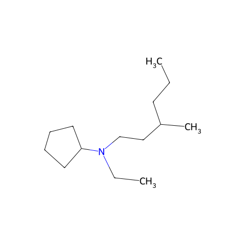 CCCC(C)CCN(CC)C1CCCC1